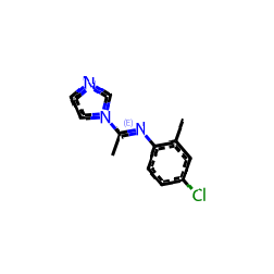 C/C(=N\c1ccc(Cl)cc1C)n1ccnc1